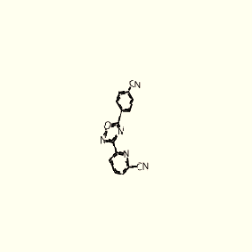 N#Cc1ccc(-c2nc(-c3cccc(C#N)n3)no2)cc1